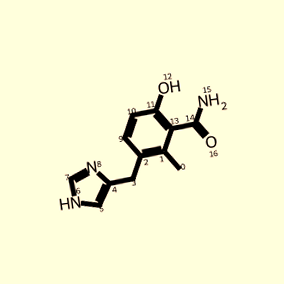 Cc1c(Cc2c[nH]cn2)ccc(O)c1C(N)=O